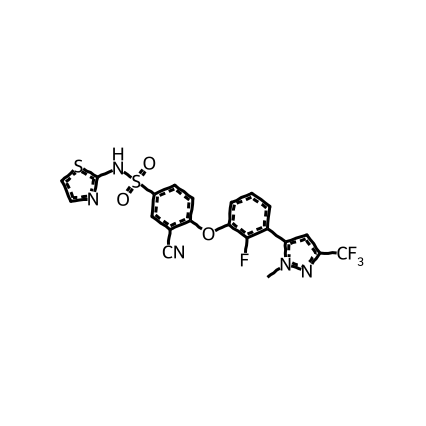 Cn1nc(C(F)(F)F)cc1-c1cccc(Oc2ccc(S(=O)(=O)Nc3nccs3)cc2C#N)c1F